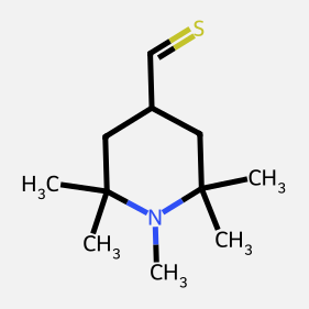 CN1C(C)(C)CC(C=S)CC1(C)C